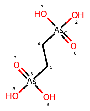 O=[As](O)(O)CC[As](=O)(O)O